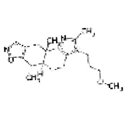 COCCCn1c(C)nc2c1CC[C@H]1[C@H](C)c3oncc3C[C@]21C